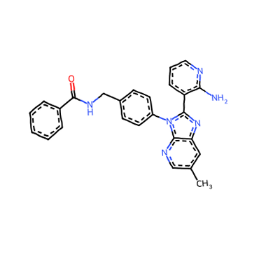 Cc1cnc2c(c1)nc(-c1cccnc1N)n2-c1ccc(CNC(=O)c2ccccc2)cc1